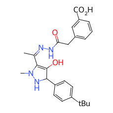 CC(=NNC(=O)Cc1cccc(C(=O)O)c1)C1=C(O)C(c2ccc(C(C)(C)C)cc2)NN1C